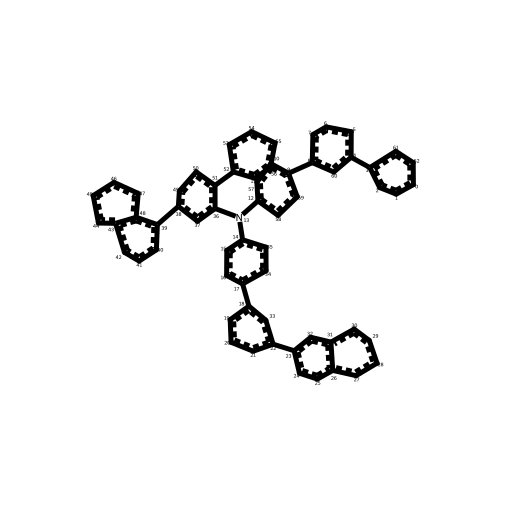 c1ccc(-c2cccc(-c3ccc(N(c4ccc(-c5cccc(-c6ccc7ccccc7c6)c5)cc4)c4cc(-c5cccc6ccccc56)ccc4-c4ccccc4)cc3)c2)cc1